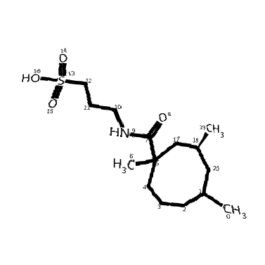 CC1CCCC(C)(C(=O)NCCCS(=O)(=O)O)C[C@@H](C)C1